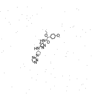 CCO[C@H](C(=O)Nc1nnc(N[C@@H]2CCN(c3nccnn3)C2)s1)c1ccc(OC)cc1